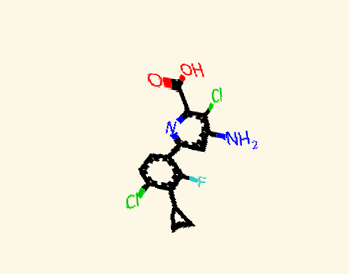 Nc1cc(-c2ccc(Cl)c(C3CC3)c2F)nc(C(=O)O)c1Cl